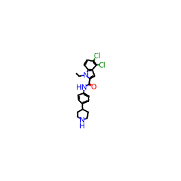 CCn1c(C(=O)Nc2ccc(C3CCNCC3)cc2)cc2c(Cl)c(Cl)ccc21